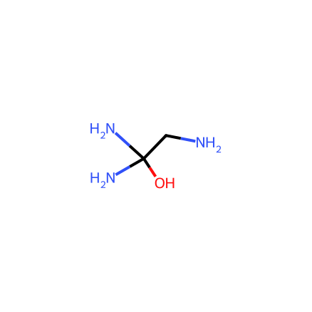 NCC(N)(N)O